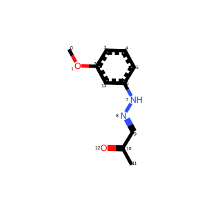 COc1cccc(NN=CC(C)=O)c1